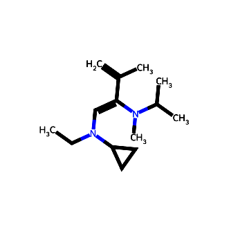 C=C(C)/C(=C/N(CC)C1CC1)N(C)C(C)C